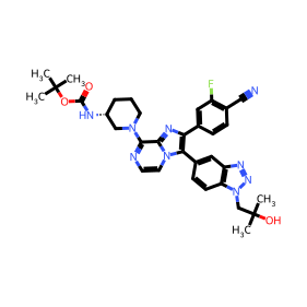 CC(C)(O)Cn1nnc2cc(-c3c(-c4ccc(C#N)c(F)c4)nc4c(N5CCC[C@@H](NC(=O)OC(C)(C)C)C5)nccn34)ccc21